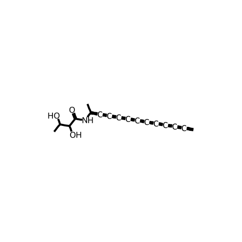 C=C=C=C=C=C=C=C=C=C=C=C(C)NC(=O)C(O)C(C)O